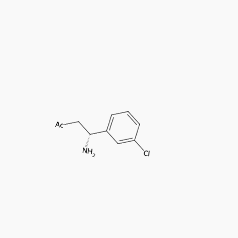 CC(=O)C[C@@H](N)c1cccc(Cl)c1